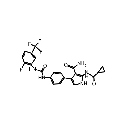 NC(=O)c1c(-c2ccc(NC(=O)Nc3cc(C(F)(F)F)ccc3F)cc2)c[nH]c1NC(=O)C1CC1